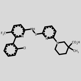 CC1(C(=O)O)CCCN(c2cccc(SNc3ccc(C(F)(F)F)c(-c4ccccc4Cl)n3)n2)C1